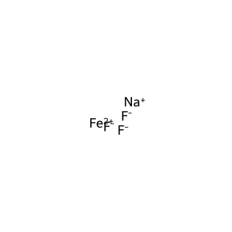 [F-].[F-].[F-].[Fe+2].[Na+]